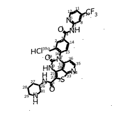 Cc1cc(C(=O)Nc2cc(C(F)(F)F)ccn2)ccc1N1C(=O)Nc2c(C(=O)N[C@@H]3CCCNC3)sc3nccc1c23.Cl